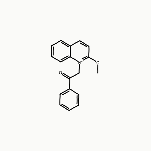 COc1ccc2ccccc2[n+]1CC(=O)c1ccccc1